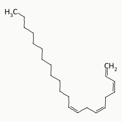 C=C/C=C\C/C=C\C/C=C\CCCCCCCCCCCC